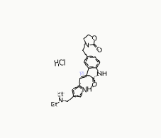 CCN(CC)Cc1c[nH]c(/C=C2\C(=O)Nc3ccc(CN4CCOC4=O)cc32)c1.Cl